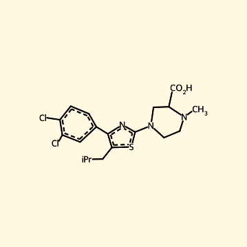 CC(C)Cc1sc(N2CCN(C)C(C(=O)O)C2)nc1-c1ccc(Cl)c(Cl)c1